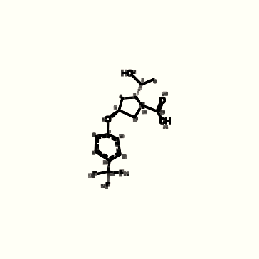 CC(O)[C@H]1C[C@H](Oc2ccc(C(F)(F)F)cc2)CN1C(=O)O